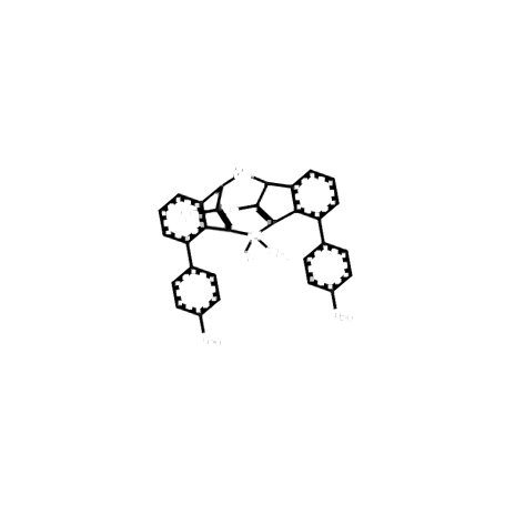 CC1=C2c3c(-c4ccc(C(C)(C)C)cc4)cccc3[CH]1[Mg][CH]1C(C)=C(c3c(-c4ccc(C(C)(C)C)cc4)cccc31)[Si]2(C)C